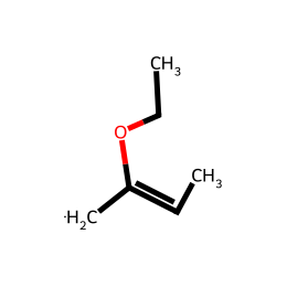 [CH2]C(=CC)OCC